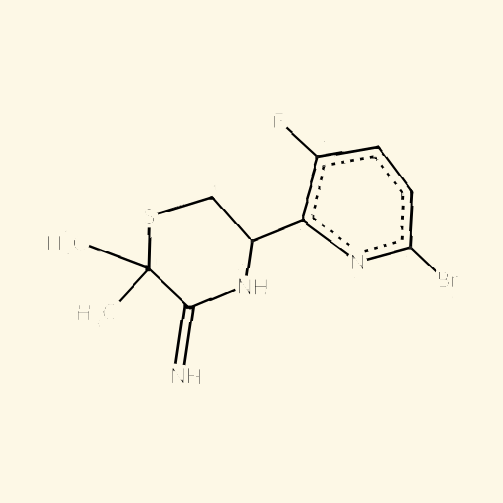 CC1(C)SCC(c2nc(Br)ccc2F)NC1=N